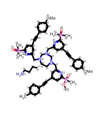 CCOP(C)(=O)c1cc(C#Cc2ccc(C)cc2)cc(CN2C[C@H](CCCCN)N(Cc3cc(C#Cc4ccc(OC)cc4)cc(P(C)(C)=O)n3)CN(Cc3cc(C#Cc4ccc(OC)cc4)cc(P(C)(C)=O)n3)C2)n1